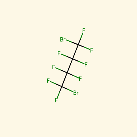 FC(F)(Br)C(F)(F)C(F)(F)C(F)(F)Br